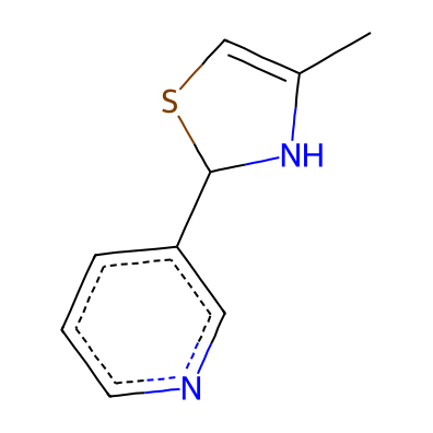 CC1=CSC(c2cccnc2)N1